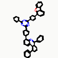 c1ccc(-c2nc(-c3ccc(-c4cccc5c4nc(-c4ccccc4)c4cccc(-c6ccccc6)c45)cc3)nc(-c3ccc(-c4cccc5c4oc4ccccc45)cc3)n2)cc1